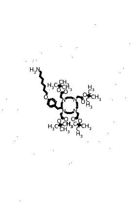 CC(C)(C)OC(=O)CN1CCN(CC(=O)OC(C)(C)C)CCN(CC(=O)OC(C)(C)C)C(Cc2ccc(OCCCCCCCN)cc2)CN(CC(=O)OC(C)(C)C)CC1